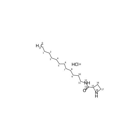 CCCCCCCCCCCCNC(=O)C1CCN1.Cl